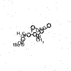 C[C@H](C1CCN(C(=O)OC(C)(C)C)CC1)N1CC=C(c2cc3c(cc2F)c(-c2ccc(OCc4ccccc4)nc2OCc2ccccc2)nn3C)CC1